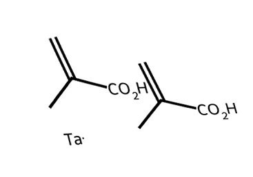 C=C(C)C(=O)O.C=C(C)C(=O)O.[Ta]